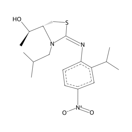 CC(C)CN1C(=Nc2ccc([N+](=O)[O-])cc2C(C)C)SC[C@H]1[C@@H](C)O